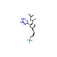 C=C/C(=C\C=C/CC(F)(F)F)C/C(=C/C(C)CC(C)C)C(C)/N=C(/C)N